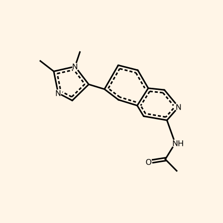 CC(=O)Nc1cc2cc(-c3cnc(C)n3C)ccc2cn1